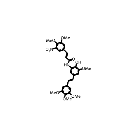 COc1cc(C=Cc2cc(OC)c(OC)c(OC)c2)cc(NC(=O)/C=C/c2cc(OC)c(OC)c([N+](=O)[O-])c2)c1O